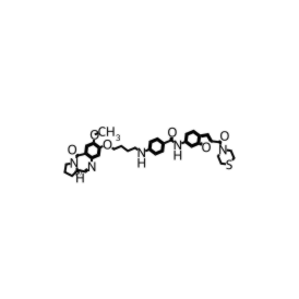 COc1cc2c(cc1OCCCCNc1ccc(C(=O)Nc3ccc4cc(C(=O)N5CCSCC5)oc4c3)cc1)N=C[C@@H]1CCCN1C2=O